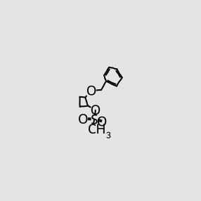 CS(=O)(=O)OC1CCC1OCc1ccccc1